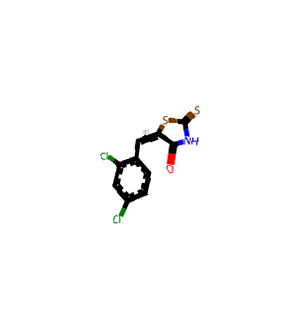 O=C1NC(=S)S/C1=C/c1ccc(Cl)cc1Cl